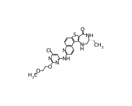 CC[C@@H]1CNc2c(sc3ccc4nc(Nc5cc(Cl)nc(OCCOC)n5)ccc4c23)C(=O)N1